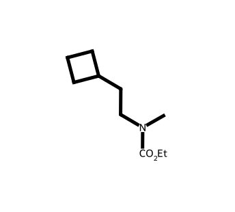 CCOC(=O)N(C)CCC1CCC1